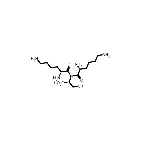 NCCCC[C@H](N)C(=O)N(C(=O)[C@@H](N)CCCCN)[C@@H](CS)C(=O)O